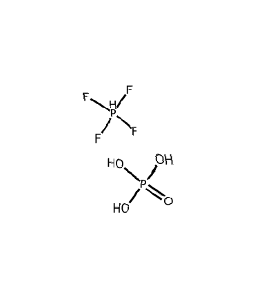 F[PH](F)(F)F.O=P(O)(O)O